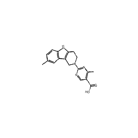 Cc1ccc2[nH]c3c(c2c1)CN(c1ncc(C(=O)O)c(C)n1)CC3